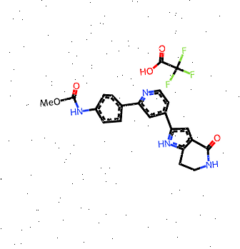 COC(=O)Nc1ccc(-c2cc(-c3cc4c([nH]3)CCNC4=O)ccn2)cc1.O=C(O)C(F)(F)F